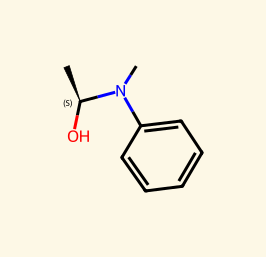 C[C@H](O)N(C)c1ccccc1